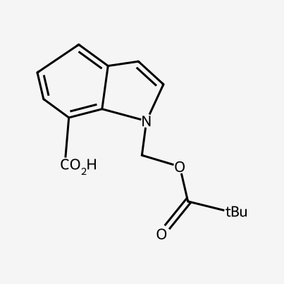 CC(C)(C)C(=O)OCn1ccc2cccc(C(=O)O)c21